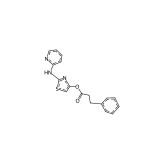 O=C(CCc1ccccc1)Oc1csc(Nc2ccccn2)n1